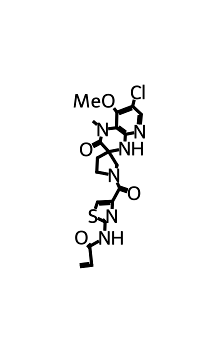 C=CC(=O)Nc1nc(C(=O)N2CCC3(C2)Nc2ncc(Cl)c(OC)c2N(C)C3=O)cs1